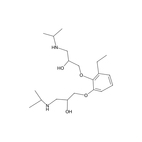 CCc1cccc(OCC(O)CNC(C)C)c1OCC(O)CNC(C)C